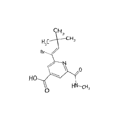 CNC(=O)c1cc(C(=O)O)cc(C(Br)=CC(C)(C)C)n1